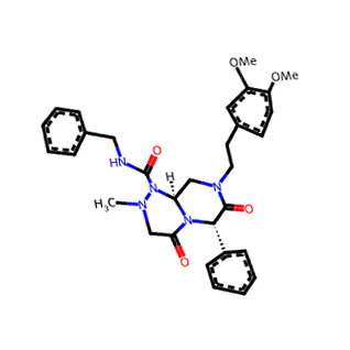 COc1ccc(CCN2C[C@H]3N(C(=O)CN(C)N3C(=O)NCc3ccccc3)[C@@H](c3ccccc3)C2=O)cc1OC